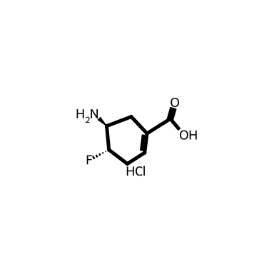 Cl.N[C@H]1CC(C(=O)O)=CC[C@@H]1F